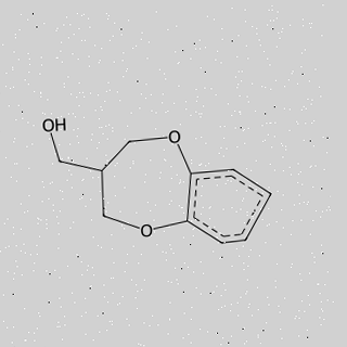 OCC1COc2ccccc2OC1